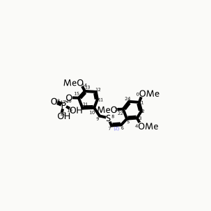 COc1cc(OC)c(/C=C\SCc2ccc(OC)c(OP(=O)(O)O)c2)c(OC)c1